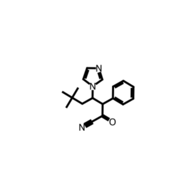 CC(C)(C)CC(C(C(=O)C#N)c1ccccc1)n1ccnc1